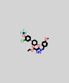 CCOC(=O)c1nnn(Cc2ccc(OC)cc2)c1O[C@H]1CC[C@@H](c2ccc(OC(F)(F)F)c(Cl)c2)CC1